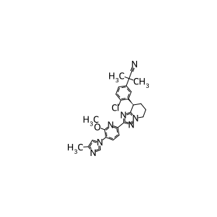 COc1nc(-c2nc3n(n2)CCC[C@@H]3c2cc(C(C)(C)C#N)ccc2Cl)ccc1-n1cnc(C)c1